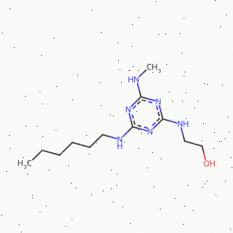 CCCCCCNc1nc(NC)nc(NCCO)n1